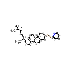 CC(C)CCCC(C)C1CCC2C3CC=C4CC(SSc5ccccn5)CCC4(C)C3CCC12C